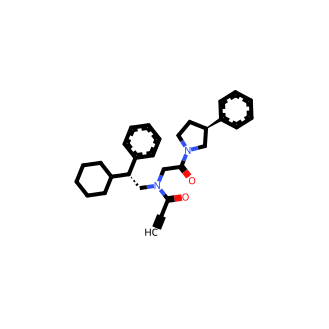 C#CC(=O)N(CC(=O)N1CC[C@@H](c2ccccc2)C1)C[C@@H](c1ccccc1)C1CCCCC1